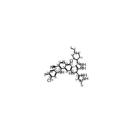 CCN1CCC(N2C=C(C(Nc3cc(Cl)c4ncc(C#N)c(Nc5ccc(F)c(Cl)c5)c4c3)C3=CN(C)NN3)NN2)CC1